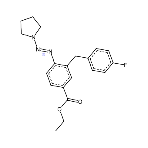 CCOC(=O)c1ccc(/N=N/N2CCCC2)c(Cc2ccc(F)cc2)c1